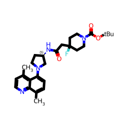 Cc1ccc(N2CC[C@H](NC(=O)CC3(F)CCN(C(=O)OC(C)(C)C)CC3)C2)c2c(C)ccnc12